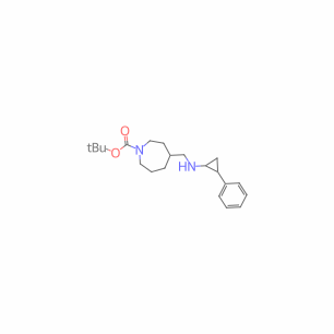 CC(C)(C)OC(=O)N1CCCC(CNC2CC2c2ccccc2)CC1